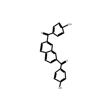 O=C(c1ccc(O)cc1)c1ccc2ccc(C(=O)c3ccc(O)cc3)cc2c1